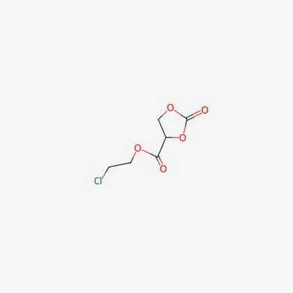 O=C1OCC(C(=O)OCCCl)O1